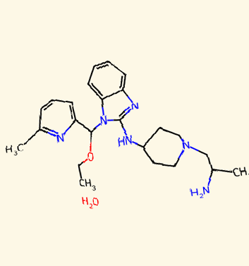 CCOC(c1cccc(C)n1)n1c(NC2CCN(CC(C)N)CC2)nc2ccccc21.O